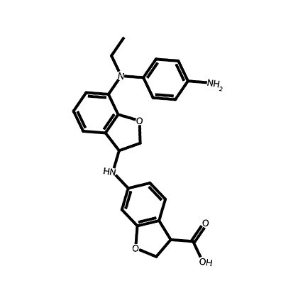 CCN(c1ccc(N)cc1)c1cccc2c1OCC2Nc1ccc2c(c1)OCC2C(=O)O